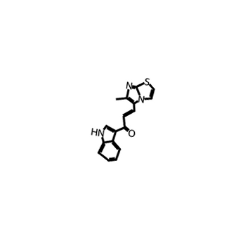 Cc1nc2sccn2c1/C=C/C(=O)c1c[nH]c2ccccc12